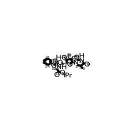 Cc1cn([C@@H]2O[C@H](CO[P@@](=O)(N[C@@H](C)C(=O)OC(C)C)Oc3ccccc3)[C@@H](O)[C@@]2(F)Cl)c(=O)[nH]c1=O